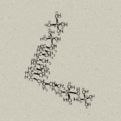 CC.CC.CC.CC.CC.CC.CC.CC.CC.CC.O[Si](O)(O)O.O[Si](O)(O)O.O[Si](O)(O)O.O[Si](O)(O)O